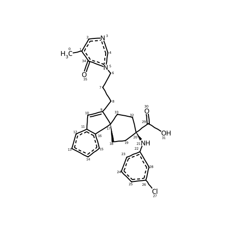 Cc1cncn(CCCC2=Cc3ccccc3[C@]23CC[C@@](Nc2cccc(Cl)c2)(C(=O)O)CC3)c1=O